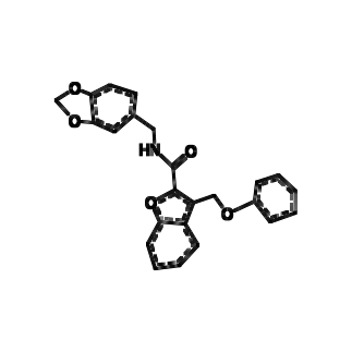 O=C(NCc1ccc2c(c1)OCO2)c1oc2ccccc2c1COc1ccccc1